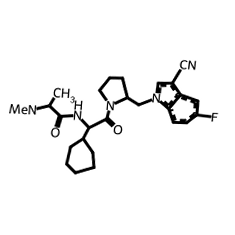 CNC(C)C(=O)NC(C(=O)N1CCCC1Cn1cc(C#N)c2cc(F)ccc21)C1CCCCC1